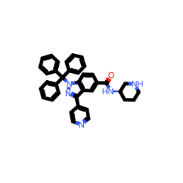 O=C(N[C@@H]1CCCNC1)c1ccc2c(c1)c(-c1ccncc1)nn2C(c1ccccc1)(c1ccccc1)c1ccccc1